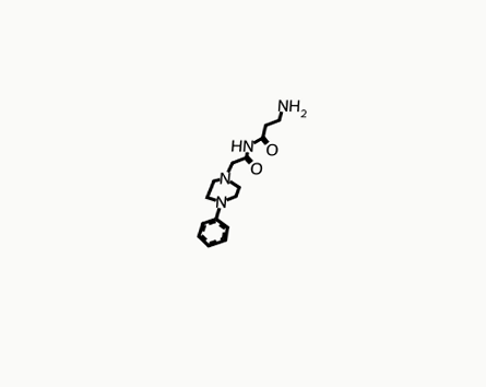 NCCC(=O)NC(=O)CN1CCN(c2ccccc2)CC1